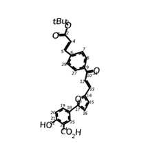 CC(C)(C)OC(=O)/C=C/c1ccc(C(=O)/C=C/c2ccc(-c3ccc(O)c(C(=O)O)c3)o2)cc1